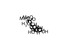 COC(=O)C(C[C@@H](C)[C@H]1CC[C@H]2[C@@H]3[C@H](O)C[C@@H]4C[C@H](O)CC[C@]4(C)[C@H]3CC[C@]12C)C(=O)OC